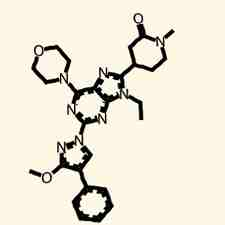 CCn1c(C2CCN(C)C(=O)C2)nc2c(N3CCOCC3)nc(-n3cc(-c4ccccc4)c(OC)n3)nc21